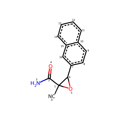 N#CC1(C(N)=O)OC1c1ccc2ccccc2c1